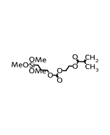 C=C(C)C(=O)OCCOC(=O)OCCC[Si](OC)(OC)OC